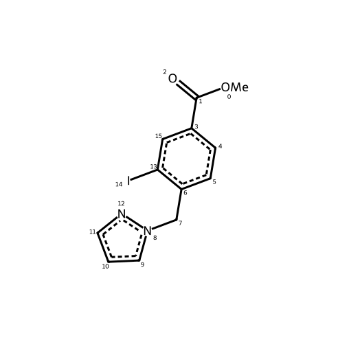 COC(=O)c1ccc(Cn2cccn2)c(I)c1